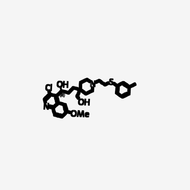 COc1ccc2ncc(Cl)c([C@H](O)CCC3(CO)CCN(CCSc4cccc(C)c4)CC3)c2c1